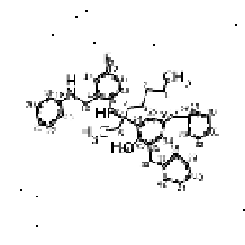 CCCCCC(CC)(Pc1ccc(F)cc1CNc1ccccc1)c1cc(Cc2ccccc2)cc(Cc2ccccc2)c1O